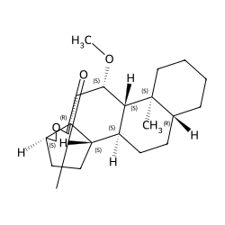 CO[C@H]1C[C@]23C(=O)OC[C@H]2CC[C@H]3[C@@H]2CC[C@H]3CCCC[C@]3(C)[C@H]21